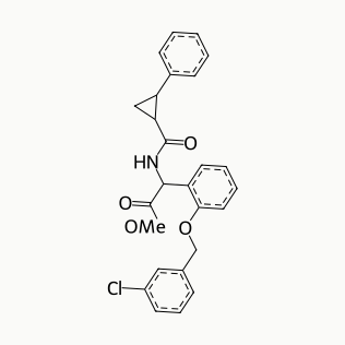 COC(=O)C(NC(=O)C1CC1c1ccccc1)c1ccccc1OCc1cccc(Cl)c1